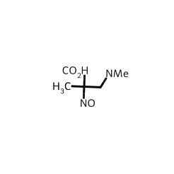 CNCC(C)(N=O)C(=O)O